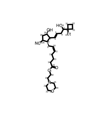 CCC1(C(O)C/C=C/C2[C@@H](C/C=C\CCCC(=O)OCCN3CCOCC3)C(C#N)C[C@H]2O)CCC1